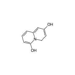 OC1=CCN2C(O)=CC=CC2=C1